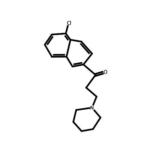 O=C(CCN1CCCCC1)c1ccc2c(Cl)cccc2c1